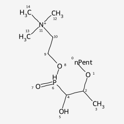 CCCCCOC(C)C(O)[PH](=O)OCC[N+](C)(C)C